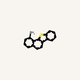 Bc1cccc2ccc3c4ccccc4sc3c12